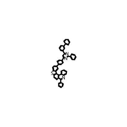 c1ccc(-c2cccc(-c3cc(-c4ccc(-c5ccc6sc7ccc8c(-c9ccccc9)nc9ccccc9c8c7c6c5)cc4)nc(-c4ccccc4)n3)c2)cc1